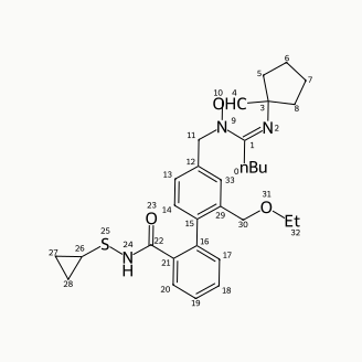 CCCC/C(=N/C1(C=O)CCCC1)N(C)Cc1ccc(-c2ccccc2C(=O)NSC2CC2)c(COCC)c1